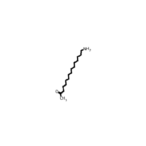 CC(=O)CCCCCCCCCCCCCCN